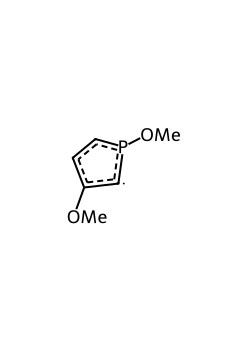 COc1[c]p(OC)cc1